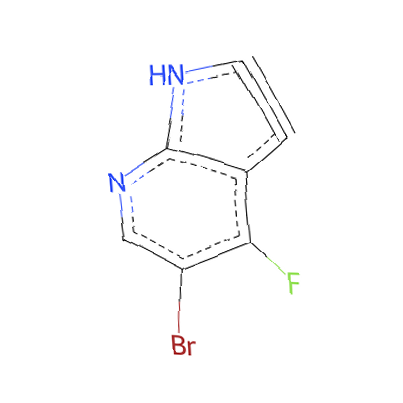 Fc1c(Br)cnc2[nH]c#cc12